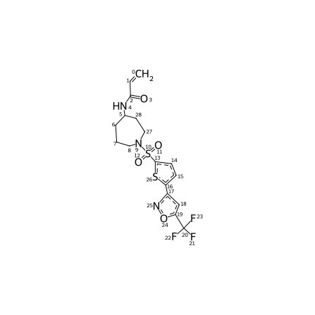 C=CC(=O)NC1CCCN(S(=O)(=O)c2ccc(-c3cc(C(F)(F)F)on3)s2)CC1